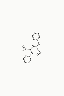 c1ccc(SC(OC(Sc2ccccc2)C2CO2)C2CO2)cc1